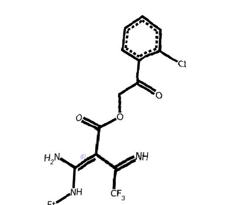 CCN/C(N)=C(\C(=N)C(F)(F)F)C(=O)OCC(=O)c1ccccc1Cl